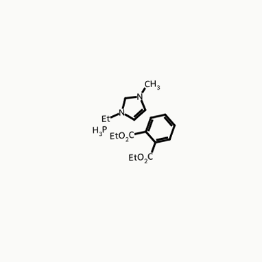 CCN1C=CN(C)C1.CCOC(=O)c1ccccc1C(=O)OCC.P